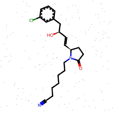 N#CCCCCCCN1C(=O)CC[C@@H]1C=C[C@@H](O)Cc1cccc(Cl)c1